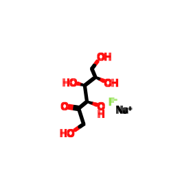 O=C(CO)[C@H](O)[C@@H](O)[C@H](O)CO.[F-].[Na+]